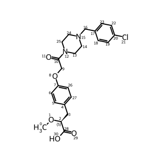 CO[C@@H](Cc1ccc(OCC(=O)N2CCN(Cc3ccc(Cl)cc3)CC2)cc1)C(=O)O